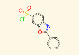 O=S(=O)(Cl)c1ccc2nc(-c3ccccc3)oc2c1